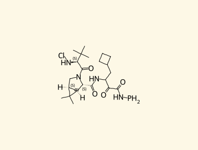 CC(C)(C)[C@H](NCl)C(=O)N1C[C@H]2[C@@H]([C@H]1C(=O)NC(CC1CCC1)C(=O)C(=O)NP)C2(C)C